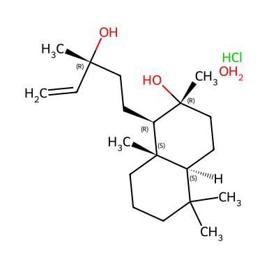 C=C[C@](C)(O)CC[C@@H]1[C@@]2(C)CCCC(C)(C)[C@@H]2CC[C@@]1(C)O.Cl.O